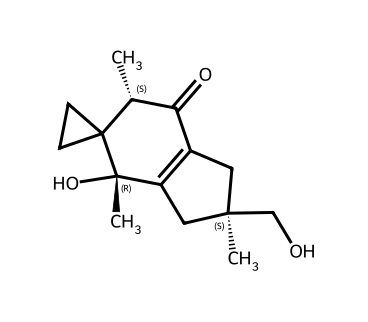 C[C@@H]1C(=O)C2=C(C[C@](C)(CO)C2)[C@](C)(O)C12CC2